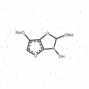 COc1coc2c1OC(OC)N2O